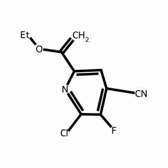 C=C(OCC)c1cc(C#N)c(F)c(Cl)n1